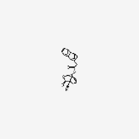 N#CC12CC3CC1C(OC2=O)C3OC(=O)CC1CC2CC1C1C3C=CC(C3)C21